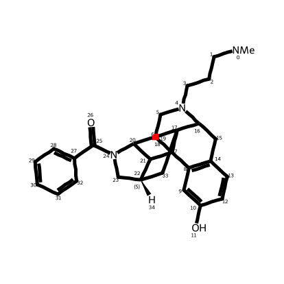 CNCCCN1CCC23c4cc(O)ccc4CC1C21CCC2C3[C@@H](CN2C(=O)c2ccccc2)C1